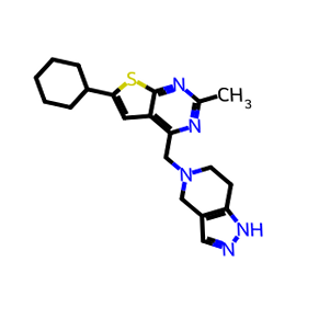 Cc1nc(CN2CCc3[nH]ncc3C2)c2cc(C3CCCCC3)sc2n1